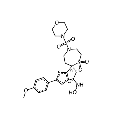 COc1ccc(-c2ccc([C@@]3(CC(=O)NO)CCN(S(=O)(=O)N4CCOCC4)CCS3(=O)=O)s2)cc1